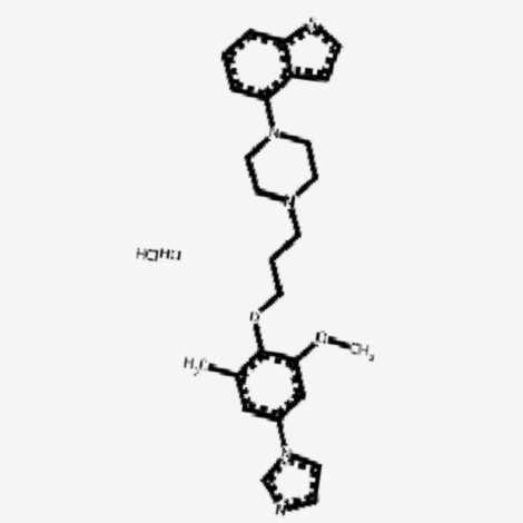 COc1cc(-n2ccnc2)cc(C)c1OCCCN1CCN(c2cccc3sccc23)CC1.Cl.Cl